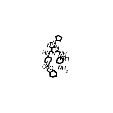 Cl.Cl.N[C@H]1CC[C@H](Nc2nc(NC3CCN(S(=O)(=O)Cc4ccccc4)CC3)c3ncn(C4CCCC4)c3n2)CC1